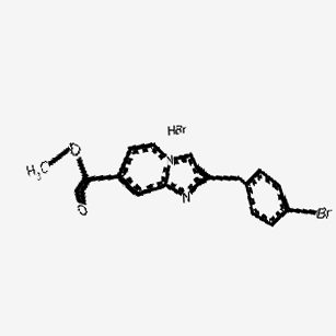 Br.COC(=O)c1ccn2cc(-c3ccc(Br)cc3)nc2c1